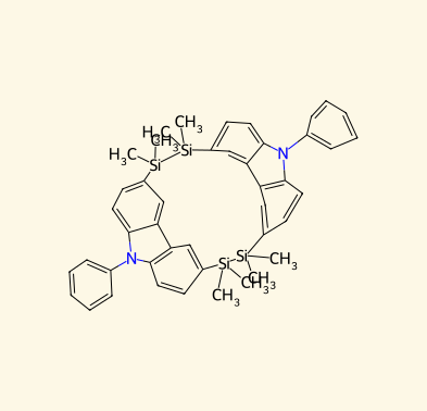 C[Si]1(C)c2ccc3c(c2)c2cc(ccc2n3-c2ccccc2)[Si](C)(C)[Si](C)(C)c2ccc3c(c2)c2cc(ccc2n3-c2ccccc2)[Si]1(C)C